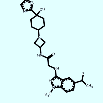 CC(F)c1ccc2c(c1)c(NCC(=O)NC1CN(C3CCC(O)(c4nccs4)CC3)C1)nn2C